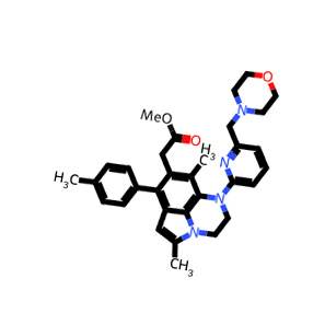 COC(=O)Cc1c(C)c2c3c(cc(C)n3CCN2c2cccc(CN3CCOCC3)n2)c1-c1ccc(C)cc1